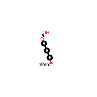 CCCCCOc1ccc(-c2ccc(-c3ccc(OCCO)cc3)cc2)cc1